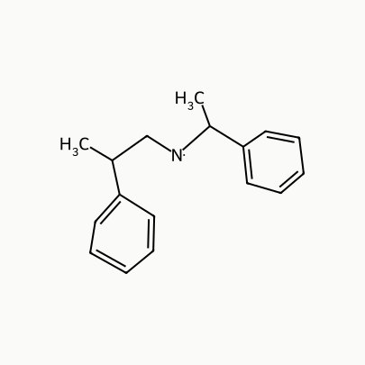 CC(C[N]C(C)c1ccccc1)c1ccccc1